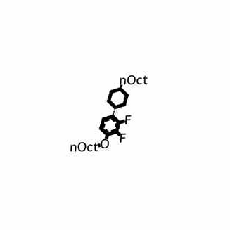 CCCCCCCCOc1ccc([C@H]2CC[C@H](CCCCCCCC)CC2)c(F)c1F